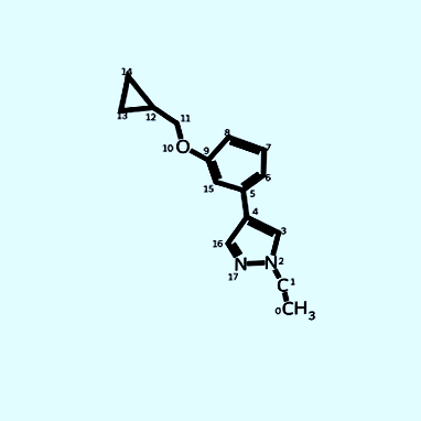 CCn1cc(-c2cccc(OCC3CC3)c2)cn1